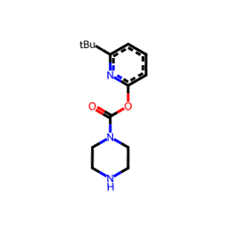 CC(C)(C)c1cccc(OC(=O)N2CCNCC2)n1